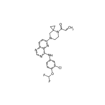 C=CC(=O)N1CCN(c2ccc3ncnc(Nc4ccc(OC(F)F)c(Cl)c4)c3n2)CC12CC2